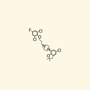 CC1(C)Cc2cc(Cl)cc(N3CCN(CCCOc4c(Cl)cc(F)cc4Cl)CC3)c2O1